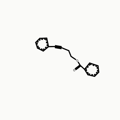 O=C(OCCC#Cc1ccccc1)c1ccccc1